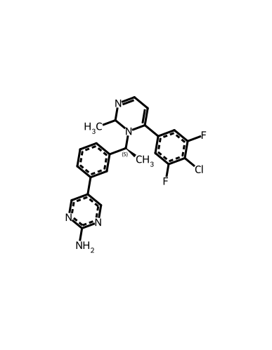 CC1N=CC=C(c2cc(F)c(Cl)c(F)c2)N1[C@@H](C)c1cccc(-c2cnc(N)nc2)c1